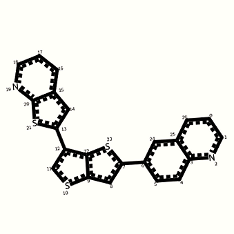 c1cnc2ccc(-c3cc4scc(-c5cc6cccnc6s5)c4s3)cc2c1